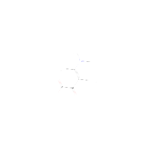 CC(C(=O)C(=O)O)=C(C)N(C)C